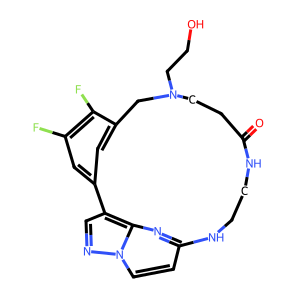 O=C1CCN(CCO)Cc2cc(cc(F)c2F)-c2cnn3ccc(nc23)NCCN1